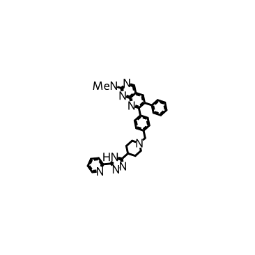 CNc1ncc2cc(-c3ccccc3)c(-c3ccc(CN4CCC(c5nnc(-c6ccccn6)[nH]5)CC4)cc3)nc2n1